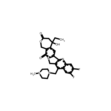 CCC1(O)CC(=O)OCc2c1cc1n(c2=O)Cc2c-1nc1cc(F)c(F)cc1c2CN1CCN(C)CC1